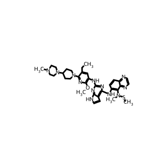 CCc1cc(Nc2nc(Nc3ccc4nccnc4c3N(C)SC)c3cc[nH]c3n2)c(OC)nc1N1CCC(N2CCN(C)CC2)CC1